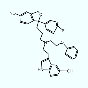 Cc1ccc2[nH]cc(CCN(CCCC3(c4ccc(F)cc4)OCc4cc(C#N)ccc43)CCOc3ccccc3)c2c1